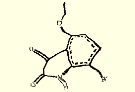 COc1ccc(Br)c2c1C(=O)C(=O)N2